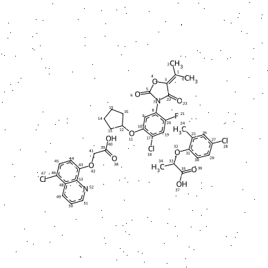 CC(C)=C1OC(=O)N(c2cc(OC3CCCC3)c(Cl)cc2F)C1=O.Cc1cc(Cl)ccc1OC(C)C(=O)O.O=C(O)COc1ccc(Cl)c2cccnc12